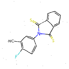 N#Cc1cc(N2C(=S)c3ccccc3C2=S)ccc1F